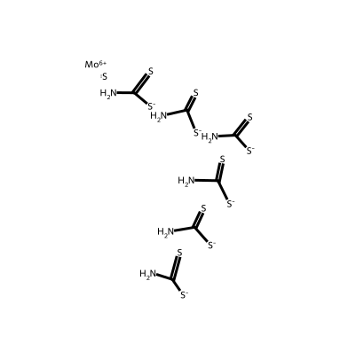 NC(=S)[S-].NC(=S)[S-].NC(=S)[S-].NC(=S)[S-].NC(=S)[S-].NC(=S)[S-].[Mo+6].[S]